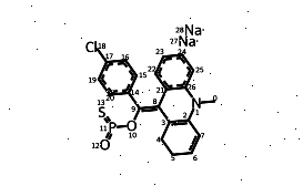 CN1C2=C(CCC=C2)C(=C(OP(=O)=S)c2ccc(Cl)cc2)c2ccccc21.[Na].[Na]